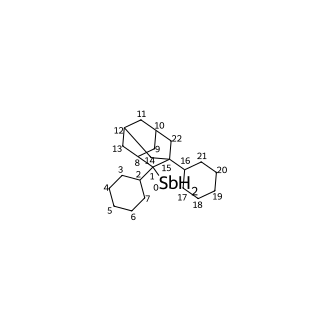 [SbH2][C]1(C2CCCCC2)C2CC3CC(C2)CC1(C1CCCCC1)C3